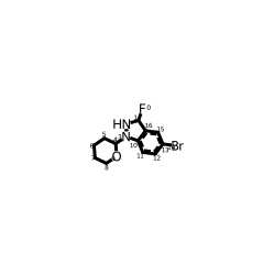 FC1NN(C2CCCCO2)c2ccc(Br)cc21